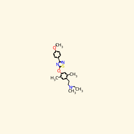 CCN(C)CCc1cc(C)c(Oc2nc(-c3ccc(OC)cc3)ns2)cc1C